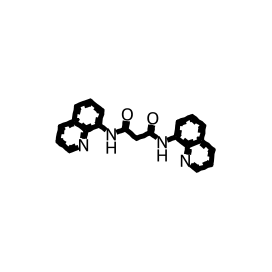 O=C(CC(=O)Nc1cccc2cccnc12)Nc1cccc2cccnc12